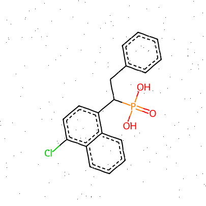 O=P(O)(O)C(Cc1ccccc1)c1ccc(Cl)c2ccccc12